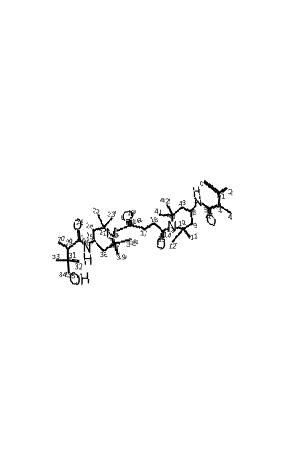 C=C(C)C(C)C(=O)NC1CC(C)(C)N(C(=O)CCC(=O)N2C(C)(C)CC(NC(=O)C(C)C(C)(C)CO)CC2(C)C)C(C)(C)C1